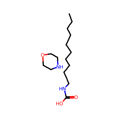 C1COCCN1.CCCCCCCCCCNC(=O)O